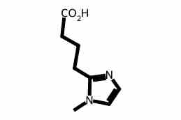 Cn1ccnc1CCCC(=O)O